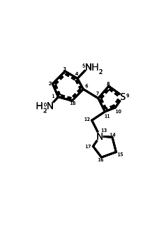 Nc1ccc(N)c(-c2cscc2CN2CCCC2)c1